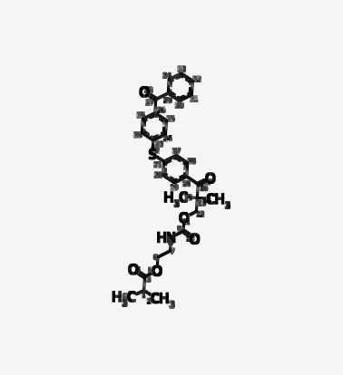 CC(C)C(=O)OCCNC(=O)OCC(C)(C)C(=O)c1ccc(Sc2ccc(C(=O)c3ccccc3)cc2)cc1